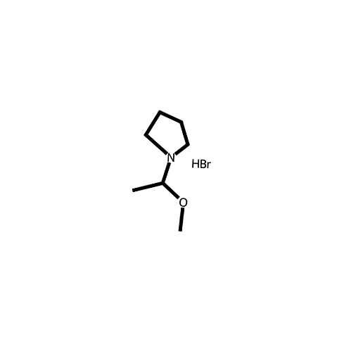 Br.COC(C)N1CCCC1